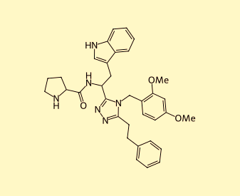 COc1ccc(Cn2c(CCc3ccccc3)nnc2C(Cc2c[nH]c3ccccc23)NC(=O)C2CCCN2)c(OC)c1